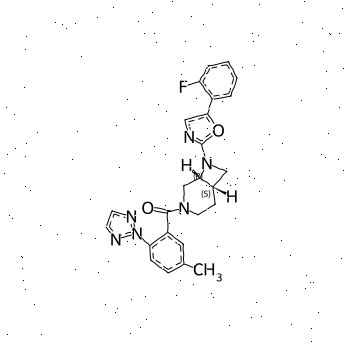 Cc1ccc(-n2nccn2)c(C(=O)N2CC[C@H]3CN(c4ncc(-c5ccccc5F)o4)[C@H]3C2)c1